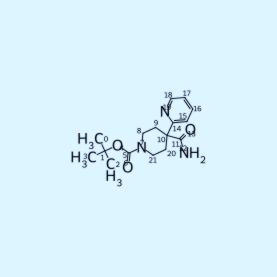 CC(C)(C)OC(=O)N1CCC(C(N)=O)(c2ccccn2)CC1